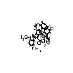 COc1ccc(C)cc1-n1nc2c(c1C(C)C)C(C)(c1ccc(Cl)cc1NC=O)N(c1cc(Cl)ccc1O)C2=O